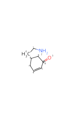 CCN.O=C1C=CCCC1